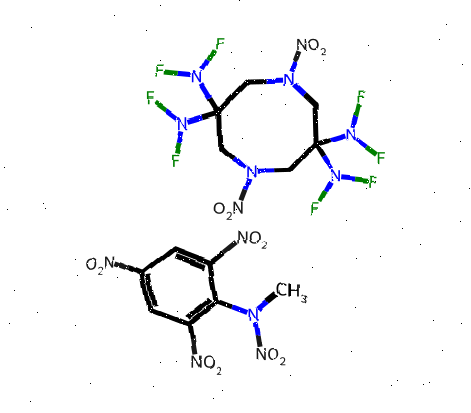 CN(c1c([N+](=O)[O-])cc([N+](=O)[O-])cc1[N+](=O)[O-])[N+](=O)[O-].O=[N+]([O-])N1CC(N(F)F)(N(F)F)CN([N+](=O)[O-])CC(N(F)F)(N(F)F)C1